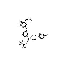 CCc1cc(Cc2ccc(F)c(C(=O)N3CCN(c4ccc(Cl)cn4)CC3)c2)n[nH]c1=O.O=C(O)C(F)(F)F